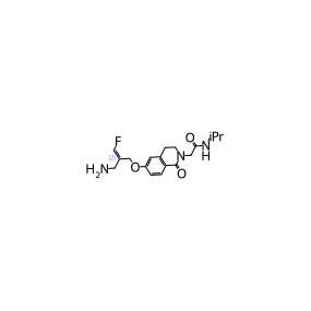 CC(C)NC(=O)CN1CCc2cc(OC/C(=C\F)CN)ccc2C1=O